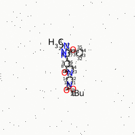 Cc1cn2nc(-c3ccc4c(=O)n(C5CCN(C(=O)OC(C)(C)C)CC5)ccc4c3)cc(Oc3ccccc3)c2n1